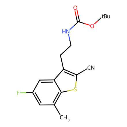 Cc1cc(F)cc2c(CCNC(=O)OC(C)(C)C)c(C#N)sc12